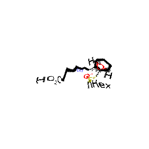 CCCCCC[S+]([O-])C[C@@H]1[C@H](C/C=C\CCCC(=O)O)[C@@H]2CC[C@H]1O2